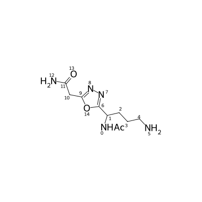 CC(=O)NC(CCCN)c1nnc(CC(N)=O)o1